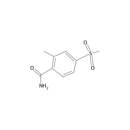 Cc1cc(S(C)(=O)=O)ccc1C(N)=O